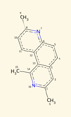 Cc1cc2ccc3nc(C)ccc3c2c(C)n1